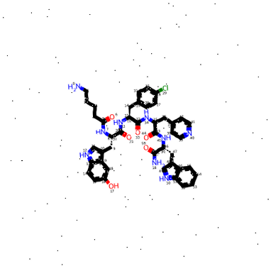 NCCCCC(=O)N[C@@H](Cc1c[nH]c2ccc(O)cc12)C(=O)N[C@@H](Cc1ccc(Cl)cc1)C(=O)NC(Cc1ccncc1)C(=O)N[C@H](Cc1c[nH]c2ccccc12)C(N)=O